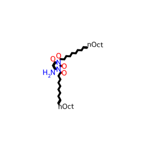 CCCCCCCCC=CCCCCCCCC(=O)n1c(N)cc(=O)n(C(=O)CCCCCCCC=CCCCCCCCC)c1=O